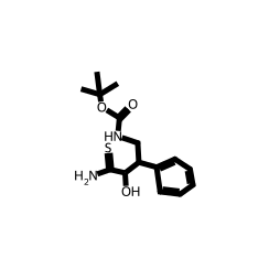 CC(C)(C)OC(=O)NCC(c1ccccc1)C(O)C(N)=S